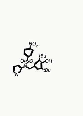 CC(C)(C)c1cc(CN(c2cccnc2)S(=O)(=O)c2ccc([N+](=O)[O-])cc2)cc(C(C)(C)C)c1O